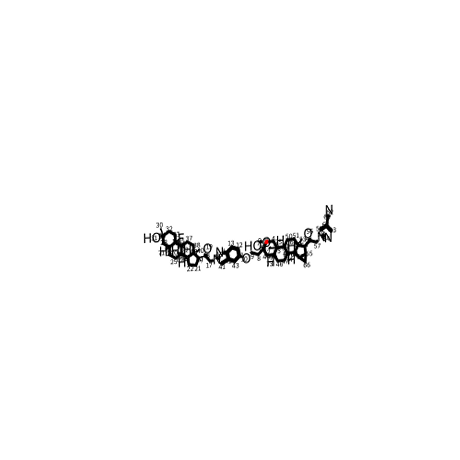 COC[C@]12CC[C@](O)(CCOc3ccc4nn(CC(=O)[C@H]5CC[C@H]6[C@@H]7CC[C@@H]8C[C@](C)(O)CC[C@]8(F)[C@H]7CC[C@]56C)cc4c3)C[C@H]1CC[C@@H]1[C@@H]2CC[C@]2(C)C(C(=O)Cn3cc(C#N)cn3)C3CC3[C@@H]12